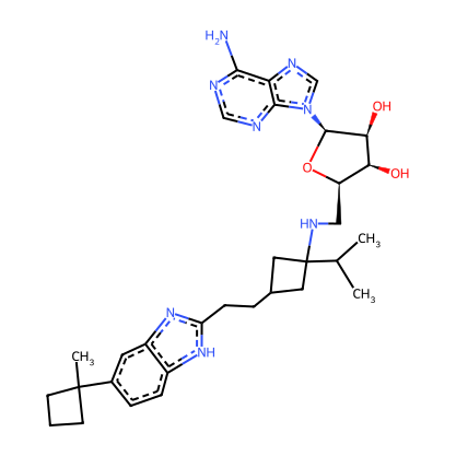 CC(C)C1(NC[C@H]2O[C@@H](n3cnc4c(N)ncnc43)[C@@H](O)[C@H]2O)CC(CCc2nc3cc(C4(C)CCC4)ccc3[nH]2)C1